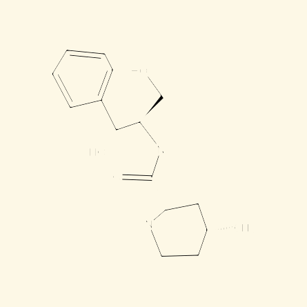 C[C@@H]1CCN[C@H](C(=O)N[C@H](CO)[C@H](O)c2ccccc2)C1